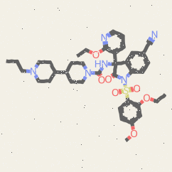 CCCN1CCC(C2CCN(C(=O)NC3(c4cccnc4OCC)C(=O)N(S(=O)(=O)c4ccc(OC)cc4OCC)c4ccc(C#N)cc43)CC2)CC1